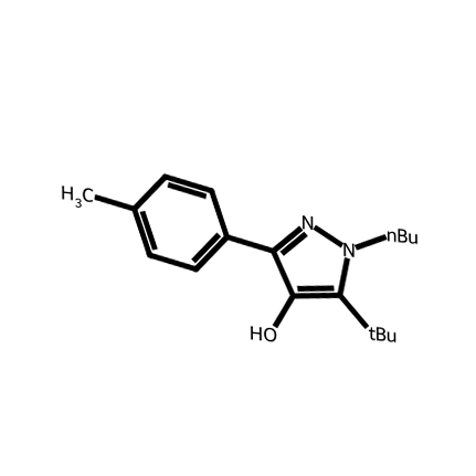 CCCCn1nc(-c2ccc(C)cc2)c(O)c1C(C)(C)C